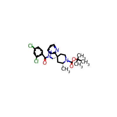 C[C@@H]1C[C@@](CNC(=O)c2ccc(Cl)cc2Cl)(c2ccccn2)CCN1C(=O)OC(C)(C)C